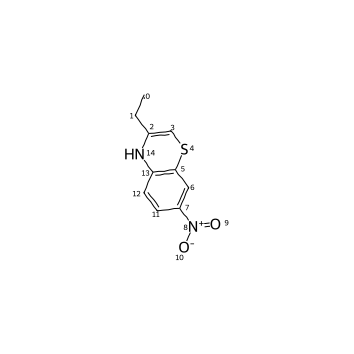 [CH2]CC1=CSc2cc([N+](=O)[O-])ccc2N1